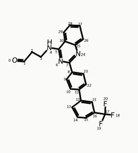 O=CCCNc1nc(-c2ccc(-c3cccc(C(F)(F)F)c3)cc2)nc2ccccc12